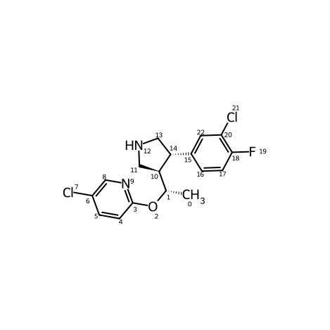 C[C@H](Oc1ccc(Cl)cn1)[C@H]1CNC[C@@H]1c1ccc(F)c(Cl)c1